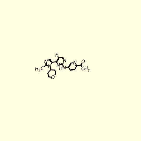 CC(=O)c1ccc(Nc2ncc(F)c(-c3cnc(C)n3C3CCOCC3)n2)cn1